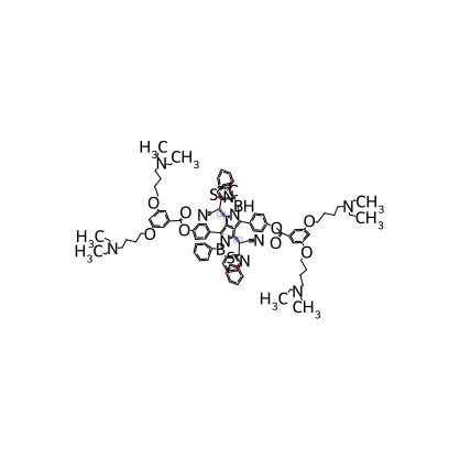 CCN(CC)CCCCOc1cc(OCCCCN(CC)CC)cc(C(=O)Oc2ccc(-c3c4/c(=C(\C#N)c5nc6ccccc6s5)n(B(c5ccccc5)c5ccccc5)c(-c5ccc(OC(=O)c6cc(OCCCCN(CC)CC)cc(OCCCCN(CC)CC)c6)cc5)c4/c(=C(\C#N)c4nc5ccccc5s4)n3Bc3ccccc3)cc2)c1